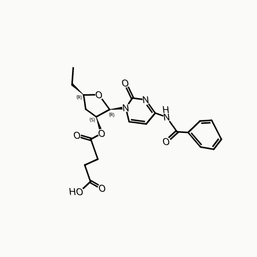 CC[C@@H]1C[C@H](OC(=O)CCC(=O)O)[C@H](n2ccc(NC(=O)c3ccccc3)nc2=O)O1